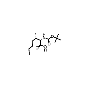 C[C@@H](CCCI)[C@H](NC(=O)OC(C)(C)C)C(=O)O